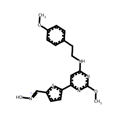 COc1ccc(CCNc2cc(-c3ccc(/C=N/O)s3)nc(OC)n2)cc1